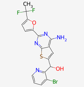 CC(F)(F)c1ccc(-c2nc(N)c3cc(C(O)c4ncccc4Br)sc3n2)o1